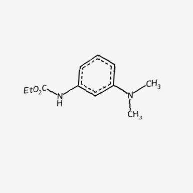 CCOC(=O)Nc1cccc(N(C)C)c1